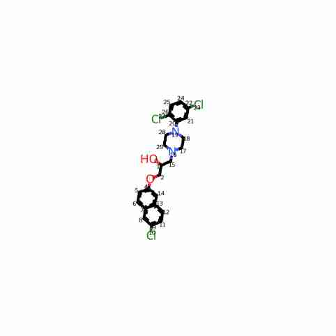 OC(COc1ccc2cc(Cl)ccc2c1)CN1CCN(c2cc(Cl)ccc2Cl)CC1